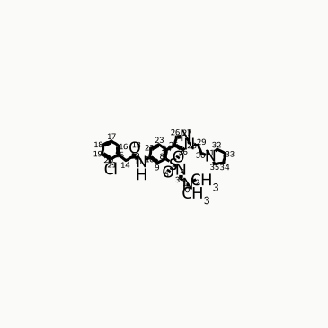 CN(C)/C=N/S(=O)(=O)c1cc(NC(=O)Cc2ccccc2Cl)ccc1-c1cnn(CCN2CCCC2)c1